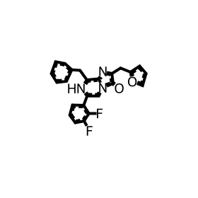 O=c1c(Cc2ccco2)nc2c(Cc3ccccc3)[nH]c(-c3cccc(F)c3F)cn1-2